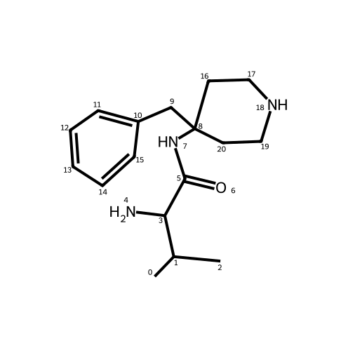 CC(C)C(N)C(=O)NC1(Cc2ccccc2)CCNCC1